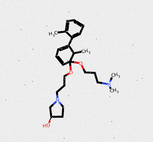 Cc1ccccc1C1=CC=CC(OCCCN(C)C)(OCCCN2CC[C@@H](O)C2)C1C